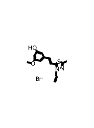 C=CC[n+]1nc(C)sc1C=Cc1cc(O)cc(OC)c1.[Br-]